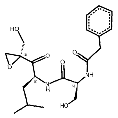 CC(C)C[C@H](NC(=O)[C@H](CO)NC(=O)Cc1ccccc1)C(=O)[C@]1(CO)CO1